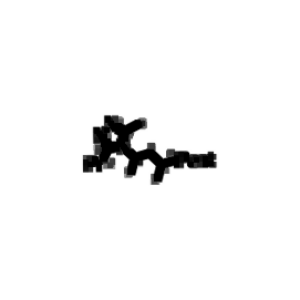 CCCC(C)C(C)CC(C)n1c(C)nnc1C(C)C